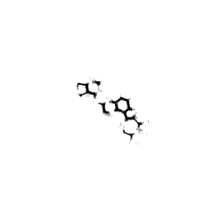 CC1CNc2c(sc3ccc4nc(Oc5nc(Cl)nc6c5COC6)cnc4c23)C(=O)N1